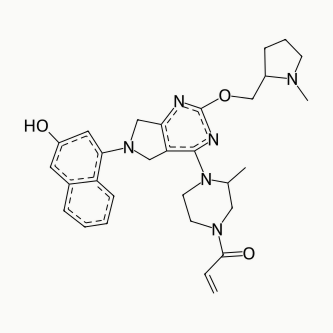 C=CC(=O)N1CCN(c2nc(OCC3CCCN3C)nc3c2CN(c2cc(O)cc4ccccc24)C3)C(C)C1